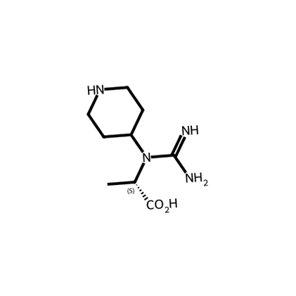 C[C@@H](C(=O)O)N(C(=N)N)C1CCNCC1